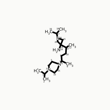 CC(C)N1CCN(C(C)CCC(C)C2(N)CN(C(C)C)C2)CC1